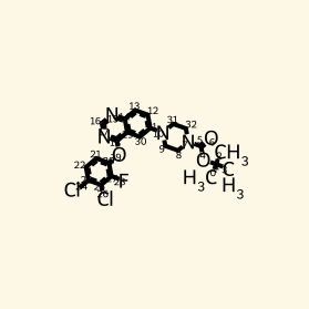 CC(C)(C)OC(=O)N1CCN(c2ccc3ncnc(Oc4ccc(Cl)c(Cl)c4F)c3c2)CC1